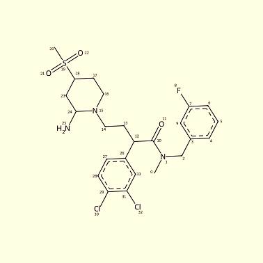 CN(Cc1cccc(F)c1)C(=O)C(CCN1CCC(S(C)(=O)=O)CC1N)c1ccc(Cl)c(Cl)c1